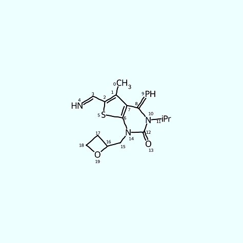 Cc1c(C=N)sc2c1c(=P)n(C(C)C)c(=O)n2CC1CCO1